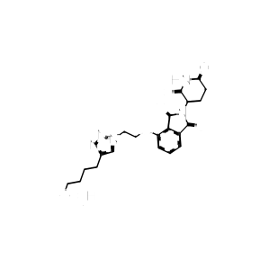 O=C(O)CCCCc1cn(CCOc2cccc3c2C(=O)N(C2CCC(=O)NC2=O)C3=O)nn1